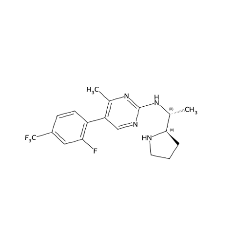 Cc1nc(N[C@H](C)[C@H]2CCCN2)ncc1-c1ccc(C(F)(F)F)cc1F